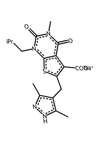 Cc1n[nH]c(C)c1Cc1sc2c(c1C(=O)[O-])c(=O)n(C)c(=O)n2CC(C)C.[Na+]